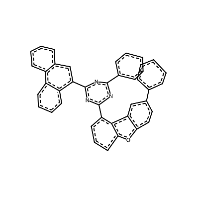 c1ccc(-c2ccc3oc4cccc(-c5nc(-c6ccccc6)nc(-c6cc7ccccc7c7ccccc67)n5)c4c3c2)cc1